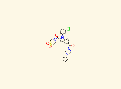 O=C(c1ccc2c(c1)cc(C(=O)N1CCS(=O)(=O)CC1)n2-c1cccc(Cl)c1)N1CCN(C2CCCC2)CC1